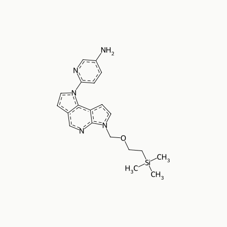 C[Si](C)(C)CCOCn1ccc2c1ncc1ccn(-c3ccc(N)cn3)c12